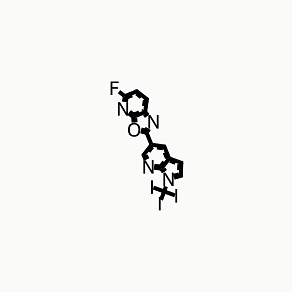 Fc1ccc2nc(-c3cnc4c(ccn4C(I)(I)I)c3)oc2n1